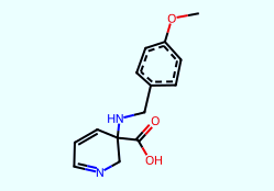 COc1ccc(CNC2(C(=O)O)C=CC=NC2)cc1